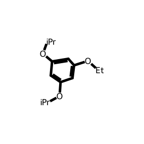 CCOc1cc(OC(C)C)cc(OC(C)C)c1